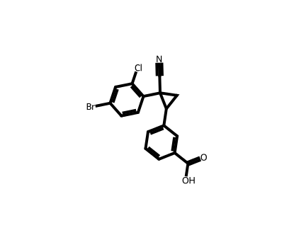 N#CC1(c2ccc(Br)cc2Cl)CC1c1cccc(C(=O)O)c1